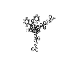 CC(=O)SCCOC(=O)OCOP(=O)(OCOC(=O)OCCSC(C)=O)C(CC(Cc1ccccc1)Oc1ccccc1)S(=O)(=O)O